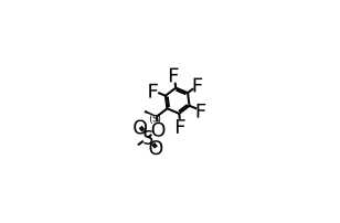 C[C@H](OS(C)(=O)=O)c1c(F)c(F)c(F)c(F)c1F